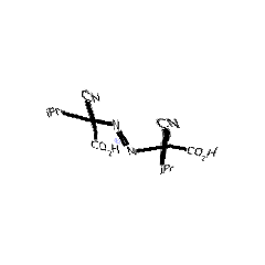 CC(C)C(C#N)(/N=N/C(C#N)(C(=O)O)C(C)C)C(=O)O